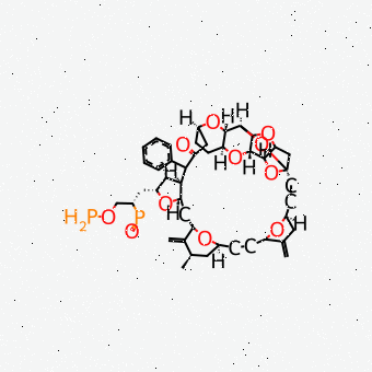 C=C1C[C@@H]2CC[C@@]34CC5OC6[C@@H](O3)[C@H]3O[C@H](CC[C@@H]3O[C@H]6[C@H]5O4)CC(=O)C(c3ccccc3)[C@@H]3[C@@H](C)[C@@H](C[C@@H](COP)P=O)O[C@H]3CC3O[C@@H](CCC1O2)C[C@@H](C)C3=C